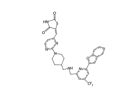 O=C1NC(=O)/C(=C\c2ccnc(N3CCC(CNCc4cc(C(F)(F)F)cc(-c5cc6ccccc6o5)n4)CC3)n2)S1